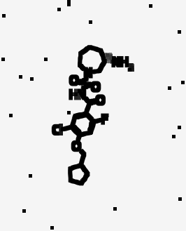 N[C@H]1CCCCN(S(=O)(=O)NC(=O)c2cc(Cl)c(OCC3CCCC3)cc2F)C1